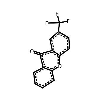 O=c1c2ccccc2oc2ccc(C(F)(F)F)cc12